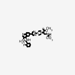 COC(=O)C(CNC(C)=O)N1CCN(c2ncc(-c3ccc4ncc(Cl)c(N[C@H](C)c5ccccc5F)c4c3)cn2)CC1